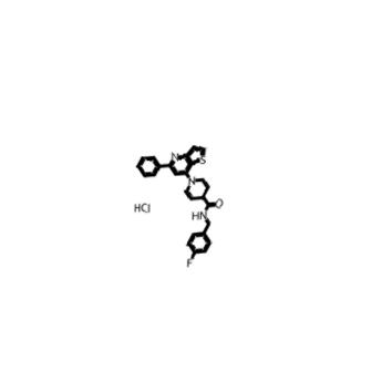 Cl.O=C(NCc1ccc(F)cc1)C1CCN(c2cc(-c3ccccc3)nc3ccsc23)CC1